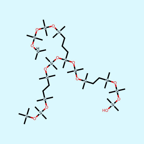 C[SiH](C)O[Si](C)(C)O[Si](C)(C)O[Si](C)(C)CCC[Si](C)(O[Si](C)(C)O[Si](C)(C)CC[Si](C)(C)O[Si](C)(C)O[Si](C)(C)C)O[Si](C)(C)O[Si](C)(C)CC[Si](C)(C)O[Si](C)(C)O[Si](C)(C)O